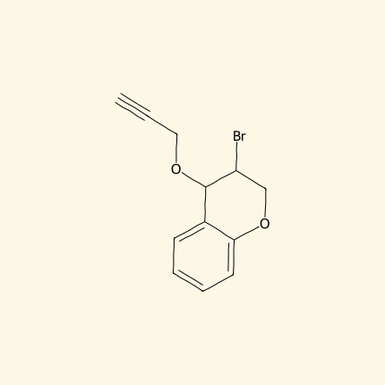 C#CCOC1c2ccccc2OCC1Br